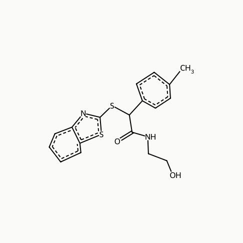 Cc1ccc(C(Sc2nc3ccccc3s2)C(=O)NCCO)cc1